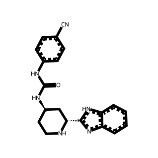 N#Cc1ccc(NC(=O)N[C@@H]2CCN[C@@H](c3nc4ccccc4[nH]3)C2)cc1